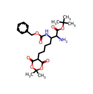 CC(C)(C)OC(=O)C(N)C(CCCCC1C(=O)OC(C)(C)OC1=O)NC(=O)OCc1ccccc1